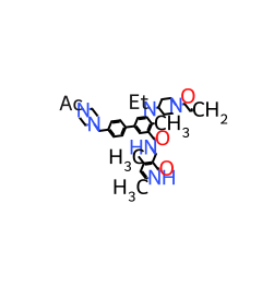 C=CC(=O)N1CCC(N(CC)c2cc(-c3ccc(CN4CCN(C(C)=O)CC4)cc3)cc(C(=O)NCc3c(C)cc(C)[nH]c3=O)c2C)CC1